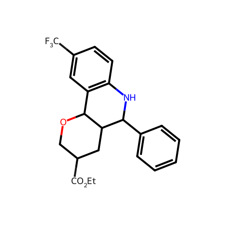 CCOC(=O)C1COC2c3cc(C(F)(F)F)ccc3NC(c3ccccc3)C2C1